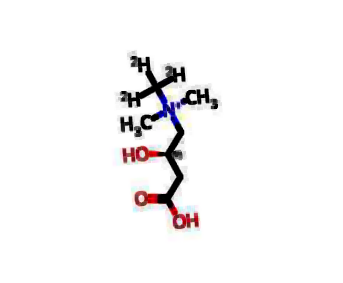 [2H]C([2H])([2H])[N+](C)(C)C[C@H](O)CC(=O)O